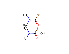 CN(C)C(=O)[S-].CN(C)C(=O)[S-].[Co+2]